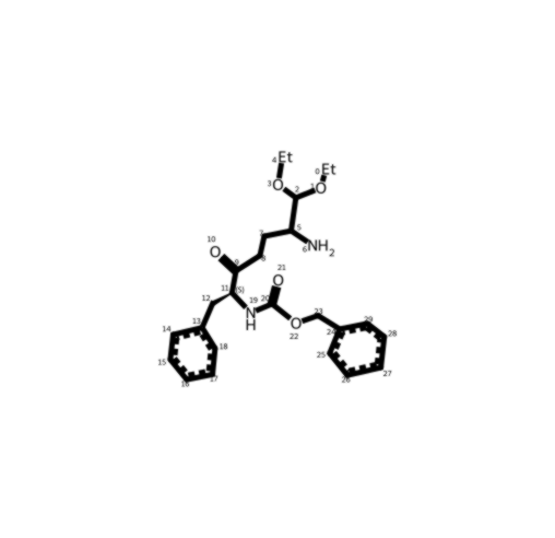 CCOC(OCC)C(N)CCC(=O)[C@H](Cc1ccccc1)NC(=O)OCc1ccccc1